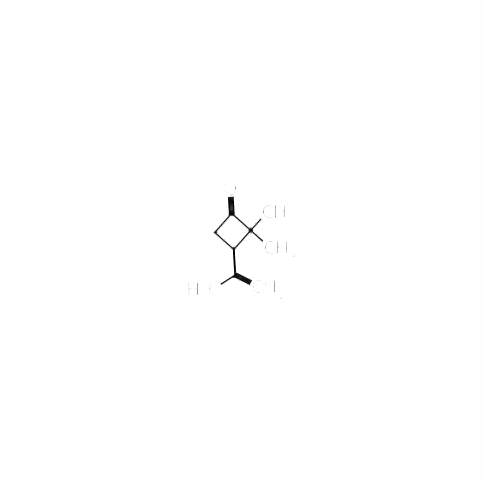 C=C(C)C1CC(=O)C1(C)C